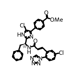 COC(=O)c1ccc(-c2nc([C@H](Cc3ccccc3)NC(=O)C=Cc3cc(Cl)ccc3-n3cnnn3)[nH]c2Cl)cc1